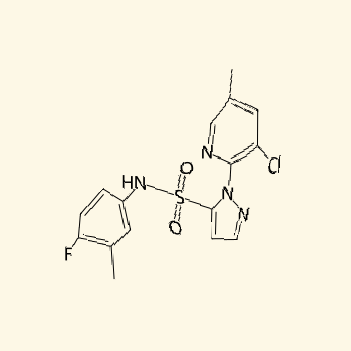 Cc1cnc(-n2nccc2S(=O)(=O)Nc2ccc(F)c(C)c2)c(Cl)c1